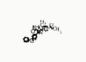 C=CC(=O)N1CCN(c2nc(-c3ccc(Oc4ccccc4)cc3)c(C(N)=O)s2)[C@@H](C)C1